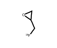 [18F]CC1CO1